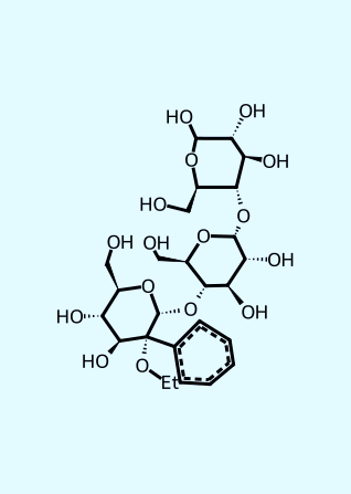 CCO[C@@]1(c2ccccc2)[C@@H](O[C@H]2[C@H](O)[C@@H](O)[C@@H](O[C@H]3[C@H](O)[C@@H](O)C(O)O[C@@H]3CO)O[C@@H]2CO)O[C@H](CO)[C@@H](O)[C@@H]1O